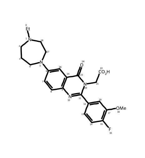 CCN1CCCN(c2ccc3nc(-c4ccc(F)c(OC)c4)n(CC(=O)O)c(=O)c3c2)CC1